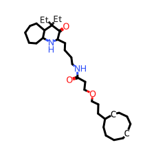 CCC1(CC)C(=O)C(CCCCNC(=O)CCOCCCC2CCCCCCCCC2)NC2CCCCCC21